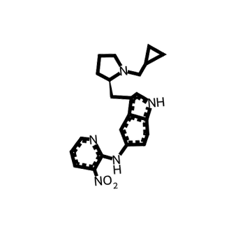 O=[N+]([O-])c1cccnc1Nc1ccc2[nH]cc(C[C@H]3CCCN3CC3CC3)c2c1